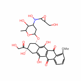 COc1cccc2c1C(=O)c1c(O)c3c(c(O)c1C2=O)C[C@@](O)(C(=O)CO)C[C@@H]3OC1CC(N(O)C2OC2CO)C(O)C(C)O1